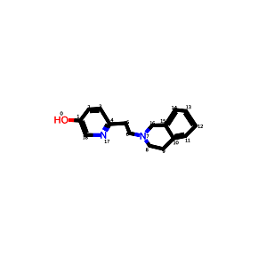 Oc1ccc(CCN2CCc3ccccc3C2)nc1